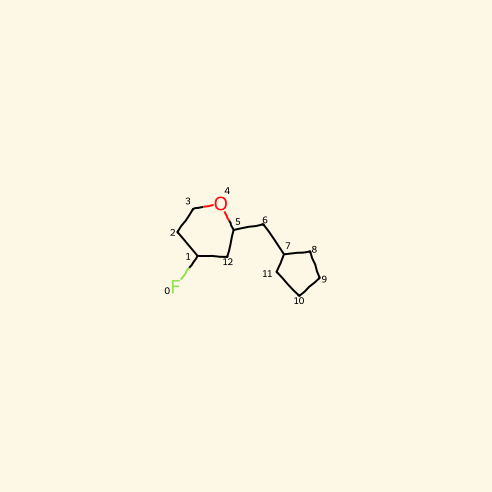 FC1CCOC(CC2CCCC2)C1